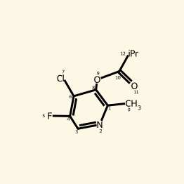 Cc1ncc(F)c(Cl)c1OC(=O)C(C)C